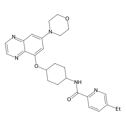 CCc1ccc(C(=O)NC2CCC(Oc3cc(N4CCOCC4)cc4nccnc34)CC2)nc1